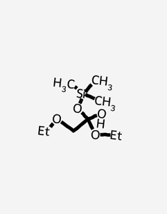 CCOCC(O)(OCC)O[Si](C)(C)C